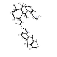 C=C1C2=C(C(F)=CCC2)C(C)(C)c2cccc(/C=C\CC(C)CC3CC=C(C)C4=C3C(=C)c3c(/C=C\C)cccc3C4(C)C)c21